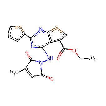 CCOC(=O)c1csc2nc(-c3cccs3)nc(NN3C(=O)C=C(C)C3=O)c12